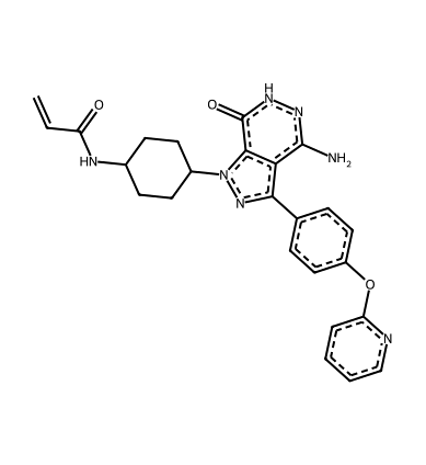 C=CC(=O)NC1CCC(n2nc(-c3ccc(Oc4ccccn4)cc3)c3c(N)n[nH]c(=O)c32)CC1